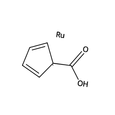 O=C(O)[C]1C=CC=C1.[Ru]